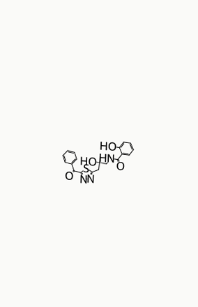 CC(O)(CNC(=O)c1ccccc1O)Cc1nnc(C(=O)c2ccccc2)s1